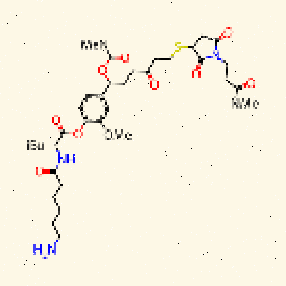 CC[C@H](C)[C@H](NC(=O)CCCCCN)C(=O)Oc1ccc(C(CCC(=O)CCSC2CC(=O)N(CCC(=O)NC)C2=O)OC(=O)NC)cc1OC